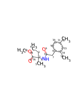 CCC(C)(NC(=O)Cc1ccc(C)cc1C)C(=O)OC